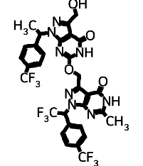 Cc1nc2c(c(COc3nc4c(c(CO)nn4C(C)c4ccc(C(F)(F)F)cc4)c(=O)[nH]3)nn2C(c2ccc(C(F)(F)F)cc2)C(F)(F)F)c(=O)[nH]1